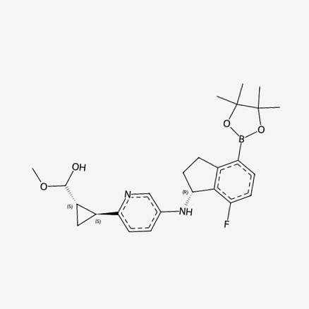 COC(O)[C@H]1C[C@@H]1c1ccc(N[C@@H]2CCc3c(B4OC(C)(C)C(C)(C)O4)ccc(F)c32)cn1